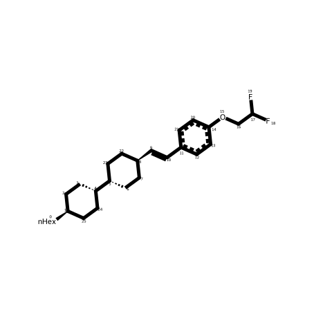 CCCCCC[C@H]1CC[C@H]([C@H]2CC[C@H](C=Cc3ccc(OCC(F)F)cc3)CC2)CC1